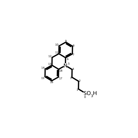 O=S(=O)(O)CCCCN1c2ccccc2Cc2ccccc21